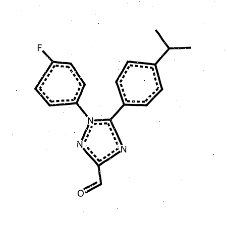 CC(C)c1ccc(-c2nc(C=O)nn2-c2ccc(F)cc2)cc1